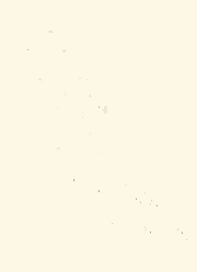 C[C@H](NC(=O)c1cc(-c2ccc3nc(N)nn3c2)cs1)c1ccc(C(F)(F)F)cc1